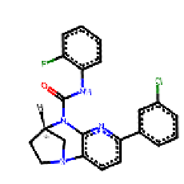 O=C(Nc1ccccc1F)N1c2nc(-c3cccc(Cl)c3)ccc2N2CC[C@H]1C2